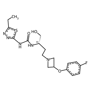 CCc1nnc(NC(=O)N[C@H](CO)CCN2CC(Oc3ccc(F)cc3)C2)s1